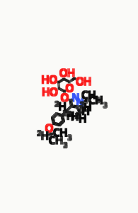 [2H]C(C)(C)Oc1ccc(C([2H])([2H])c2c(O[C@@H]3O[C@H](CO)[C@@H](O)[C@H](O)[C@H]3O)nn(C([2H])(C)C)c2C([2H])([2H])[2H])cc1